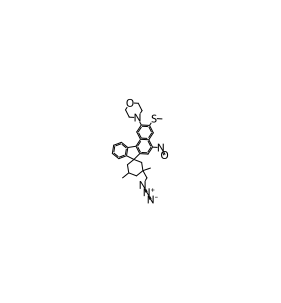 CSc1cc2c(N=O)cc3c(c2cc1N1CCOCC1)-c1ccccc1C31CC(C)CC(C)(CN=[N+]=[N-])C1